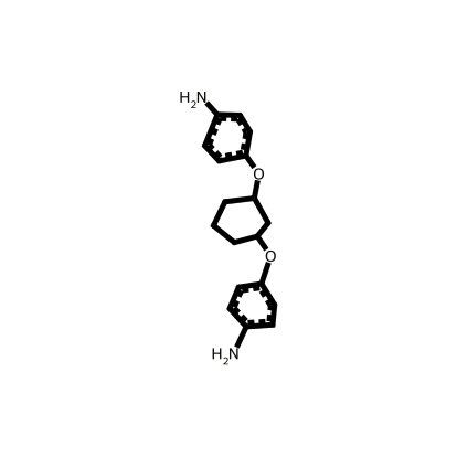 Nc1ccc(OC2CCCC(Oc3ccc(N)cc3)C2)cc1